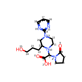 O=C(O)C(N1CCCC1=O)N1CCN(c2ncccn2)CC1CCCO